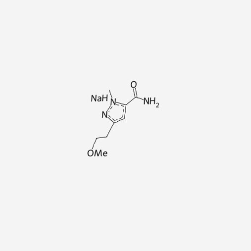 COCCc1cc(C(N)=O)n(C)n1.[NaH]